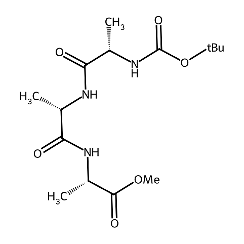 COC(=O)[C@H](C)NC(=O)[C@H](C)NC(=O)[C@H](C)NC(=O)OC(C)(C)C